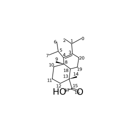 CC(C)C1=C(C(C)C)[C@@]2(C)CCC[C@@](C)(C(=O)O)C2CC1